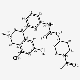 CC(=O)N1CCC(OC(=O)Nc2cccc(C3CN(C)Cc4c(Cl)cc(Cl)cc43)c2)CC1